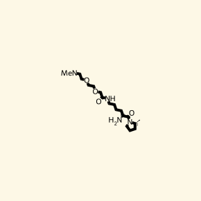 CNCCOCCOCC(=O)NCCCC[C@H](N)C(=O)N1CCC[C@H]1C